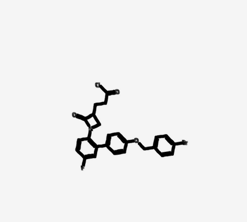 O=C(Cl)CCC1CN(c2ccc(F)cc2-c2ccc(OCc3ccc(Br)cc3)cc2)C1=O